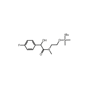 CN(CCO[Si](C)(C)C(C)(C)C)C(=O)C(O)c1ccc(F)cc1